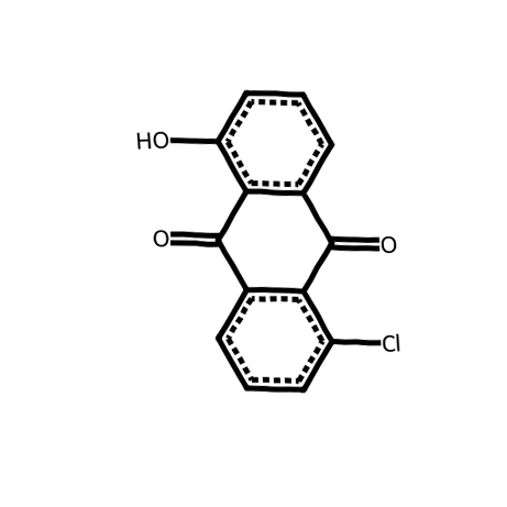 O=C1c2cccc(Cl)c2C(=O)c2cccc(O)c21